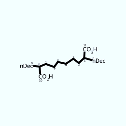 CCCCCCCCCCC(CCCCCCC(CCCCCCCCCC)C(=O)O)C(=O)O